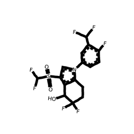 O=S(=O)(c1cn(-c2ccc(F)c(C(F)F)c2)c2c1C(O)C(F)(F)CC2)C(F)F